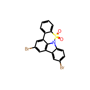 O=S1(=O)c2ccccc2-c2cc(Br)cc3c4cc(Br)ccc4n1c23